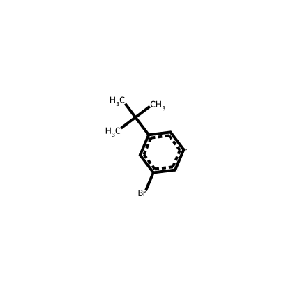 CC(C)(C)c1c[c][c]c(Br)c1